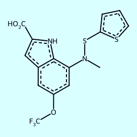 CN(Sc1cccs1)c1cc(OC(F)(F)F)cc2cc(C(=O)O)[nH]c12